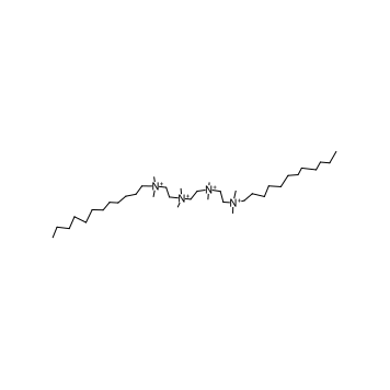 CCCCCCCCCCCC[N+](C)(C)CC[N+](C)(C)CC[N+](C)(C)CC[N+](C)(C)CCCCCCCCCCCC